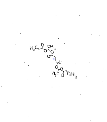 C=CC(=O)OC(C)OC(=O)/C=C/C(=O)OC(C)OC(=O)C=C